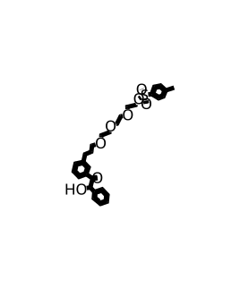 Cc1ccc(S(=O)(=O)OCCOCCOCCOCCCc2cccc(C(=O)C(O)c3ccccc3)c2)cc1